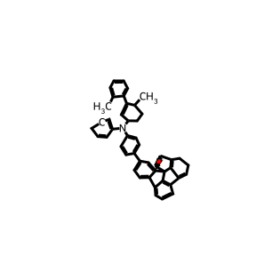 Cc1ccccc1C1=CC(N(C2=CCCC=C2)c2ccc(-c3ccc4c(c3)C35C6=C(CCC=C6c6cccc-4c63)c3ccccc35)cc2)CCC1C